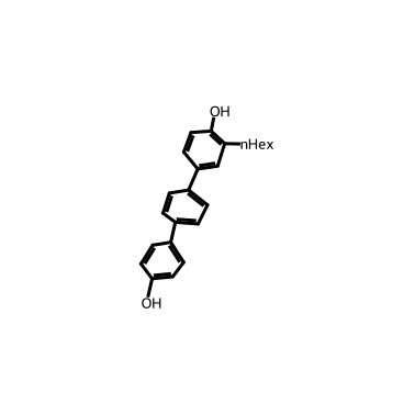 CCCCCCc1cc(-c2ccc(-c3ccc(O)cc3)cc2)ccc1O